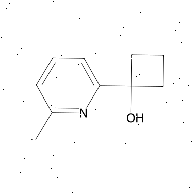 [CH2]c1cccc(C2(O)CCC2)n1